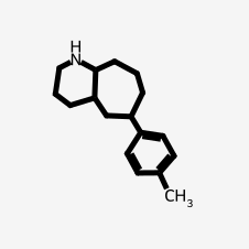 Cc1ccc(C2CCCC3NCCCC3C2)cc1